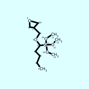 CCCCC(OCC1COC1)[Si](OC)(OC)OC